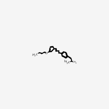 CCCCOc1cccc(C=CCCc2ccc(CC(C)C)cc2)c1